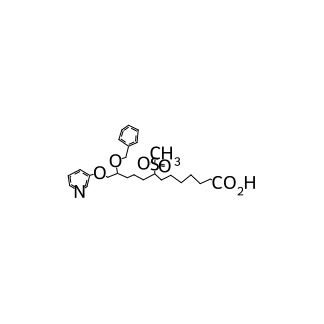 CS(=O)(=O)C(CCCCCCC(=O)O)CCCC(COc1cccnc1)OCc1ccccc1